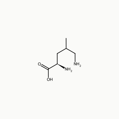 CC(CN)C[C@@H](N)C(=O)O